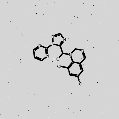 CC(c1ncnn1-c1ncccn1)N1CN=Cc2cc(Cl)cc(Cl)c21